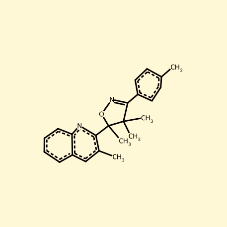 Cc1ccc(C2=NOC(C)(c3nc4ccccc4cc3C)C2(C)C)cc1